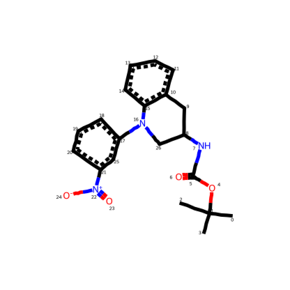 CC(C)(C)OC(=O)NC1Cc2ccccc2N(c2cccc([N+](=O)[O-])c2)C1